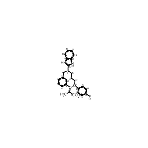 CC(Oc1cccc(CN(CCCOc2ccc(F)cc2)c2nc3ccccc3[nH]2)c1)C(=O)O